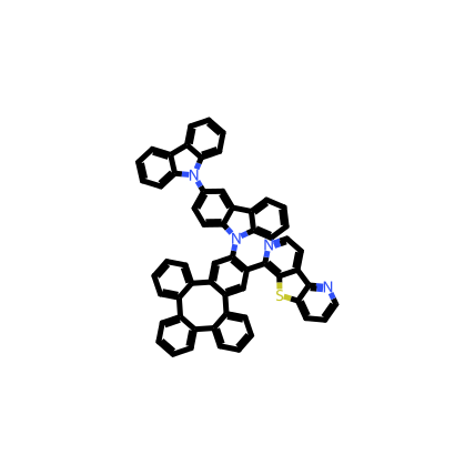 c1ccc2c(c1)-c1ccccc1-c1cc(-c3nccc4c3sc3cccnc34)c(-n3c4ccccc4c4cc(-n5c6ccccc6c6ccccc65)ccc43)cc1-c1ccccc1-2